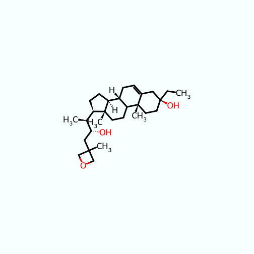 CC[C@]1(O)CC[C@@]2(C)C(=CC[C@@H]3C2CC[C@]2(C)[C@@H]([C@H](C)[C@H](O)CC4(C)COC4)CC[C@@H]32)C1